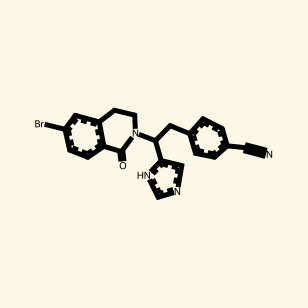 N#Cc1ccc(CC(c2cnc[nH]2)N2CCc3cc(Br)ccc3C2=O)cc1